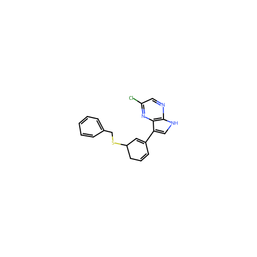 Clc1cnc2[nH]cc(C3=CC(SCc4ccccc4)CC=C3)c2n1